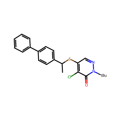 CC(Sc1cnn(C(C)(C)C)c(=O)c1Cl)c1ccc(-c2ccccc2)cc1